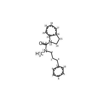 CN(CCCc1ccccc1)C(=O)N1CCc2ccccc21